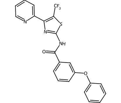 O=C(Nc1nc(-c2ccccn2)c(C(F)(F)F)s1)c1cccc(Oc2ccccc2)c1